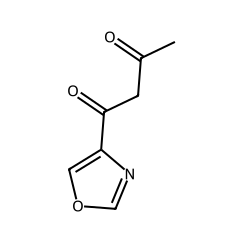 CC(=O)CC(=O)c1cocn1